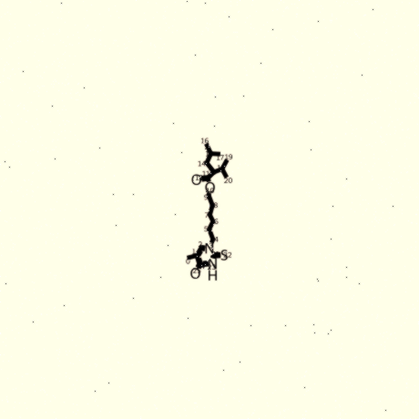 Cc1cn(CCCCCCOC(=O)C(CC(C)C)C(C)C)c(=S)[nH]c1=O